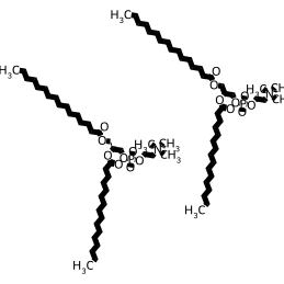 CCCCCCCCCCCCCCCC(=O)OCC(COP(=O)([O-])OCC[N+](C)(C)C)OC(=O)CCCCCCCCCCCCCCC.CCCCCCCCCCCCCCCC(=O)OC[C@H](COP(=O)([O-])OCC[N+](C)(C)C)OC(=O)CCCCCCCCCCCCCCC